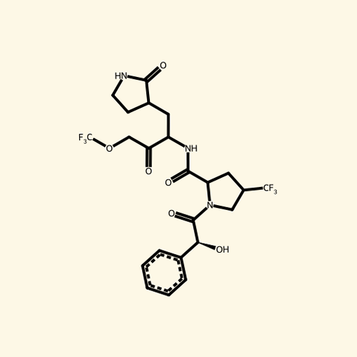 O=C1NCCC1CC(NC(=O)C1CC(C(F)(F)F)CN1C(=O)[C@@H](O)c1ccccc1)C(=O)COC(F)(F)F